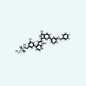 CS(=O)(=O)NCc1cc(F)cc(-c2ccnc3[nH]c(-c4n[nH]c5ccc(-c6cncc(OCc7ccccc7)c6)nc45)cc23)c1